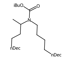 CCCCCCCCCCCCCCN(C(=O)OCC(C)C)C(C)CCCCCCCCCCCC